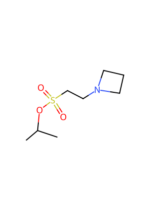 CC(C)OS(=O)(=O)CCN1CCC1